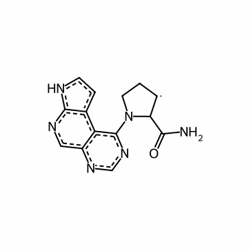 NC(=O)C1[CH]CCN1c1ncnc2cnc3[nH]ccc3c12